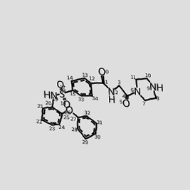 O=C(NCC(=O)N1CCNCC1)c1ccc(S(=O)(=O)Nc2ccccc2Oc2ccccc2)cc1